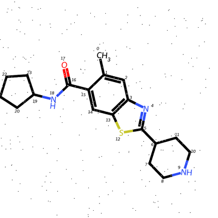 Cc1cc2nc(C3CCNCC3)sc2cc1C(=O)NC1CCCC1